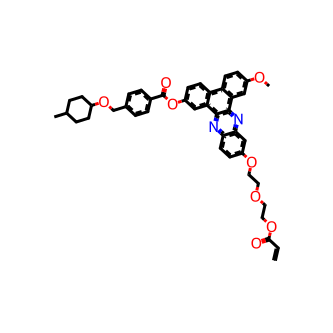 C=CC(=O)OCCOCCOc1ccc2nc3c4cc(OC(=O)c5ccc(COC6CCC(C)CC6)cc5)ccc4c4ccc(OC)cc4c3nc2c1